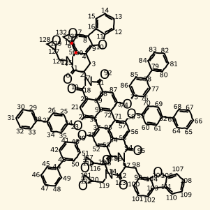 O=C(C(Cc1cccc2c1oc1ccccc12)N1C(=O)c2cc(Oc3ccc(-c4ccccc4)cc3)c3c4c(Oc5ccc(-c6ccccc6)cc5)cc5c6c(cc(Oc7ccc(-c8ccccc8)cc7)c(c7c(Oc8ccc(-c9ccccc9)cc8)cc(c2c37)C1=O)c64)C(=O)N(C(Cc1cccc2c1oc1ccccc12)C(=O)N(CC1CO1)CC1CO1)C5=O)N(CC1CO1)CC1CO1